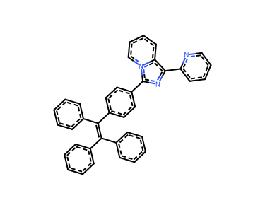 c1ccc(C(=C(c2ccccc2)c2ccc(-c3nc(-c4ccccn4)c4ccccn34)cc2)c2ccccc2)cc1